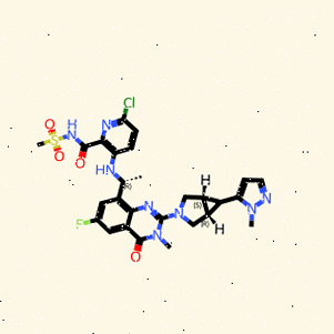 C[C@@H](Nc1ccc(Cl)nc1C(=O)NS(C)(=O)=O)c1cc(F)cc2c(=O)n(C)c(N3C[C@@H]4C(c5ccnn5C)[C@@H]4C3)nc12